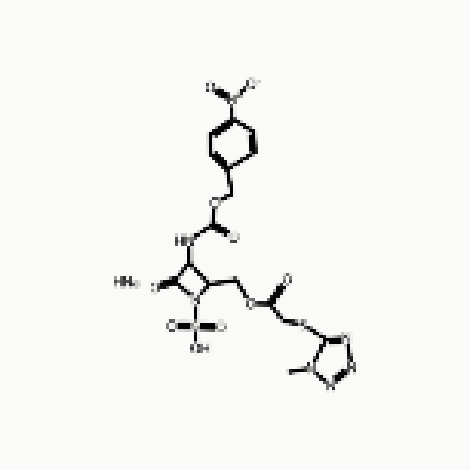 Cn1nnnc1SCC(=O)OCC1C(NC(=O)OCc2ccc([N+](=O)[O-])cc2)C(=O)N1S(=O)(=O)O.[NaH]